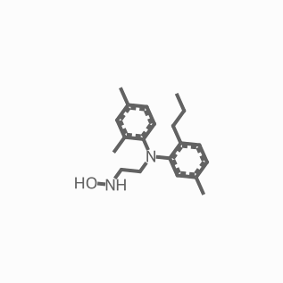 CCCc1ccc(C)cc1N(CCNO)c1ccc(C)cc1C